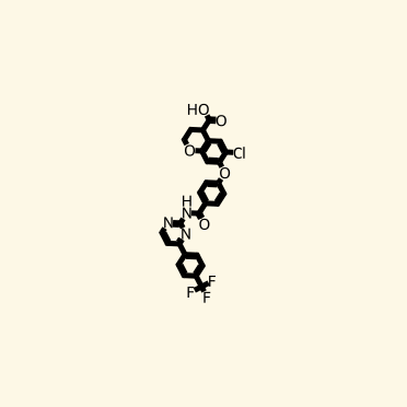 O=C(Nc1nccc(-c2ccc(C(F)(F)F)cc2)n1)c1ccc(Oc2cc3c(cc2Cl)C(C(=O)O)CCO3)cc1